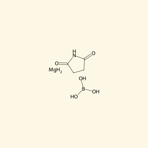 O=C1CCC(=O)N1.OB(O)O.[MgH2]